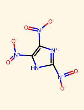 O=[N+]([O-])C1=[N+]C([N+](=O)[O-])=C([N+](=O)[O-])N1